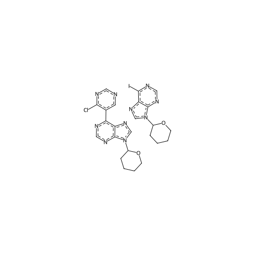 Clc1ncncc1-c1ncnc2c1ncn2C1CCCCO1.Ic1ncnc2c1ncn2C1CCCCO1